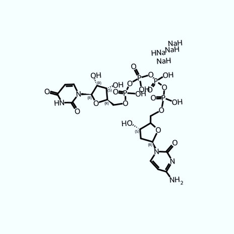 Nc1ccn([C@H]2C[C@H](O)C(COP(=O)(O)OP(=O)(O)OP(=O)(O)OP(=O)(O)OC[C@H]3O[C@@H](n4ccc(=O)[nH]c4=O)[C@H](O)[C@@H]3O)O2)c(=O)n1.[NaH].[NaH].[NaH].[NaH]